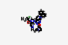 C=C(F)C(=O)N1CCN(c2nc(OCC3CCCN3C)nc3c2CCCN(c2cccc4ccccc24)C3)CC1CC#N